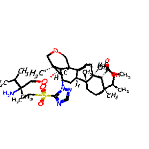 CCS(=O)(=O)c1ncnn1[C@@H]1C[C@@]23COC[C@@](C)([C@@H]2CC[C@H]2C3=CC[C@@]3(C)[C@H](C(=O)O)[C@@](C)([C@H](C)C(C)C)CC[C@]23C)[C@H]1OC[C@](C)(N)C(C)C